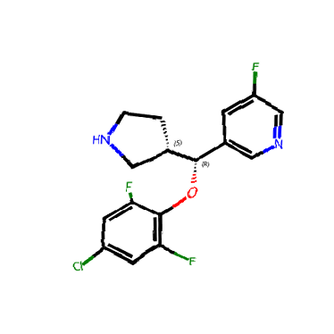 Fc1cncc([C@H](Oc2c(F)cc(Cl)cc2F)[C@H]2CCNC2)c1